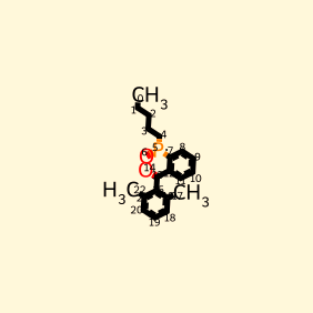 CCCCC[P](=O)c1ccccc1C(=O)c1c(C)cccc1C